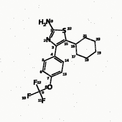 Nc1nc(-c2ccc(OC(F)(F)F)cc2)c(C2CCCCC2)s1